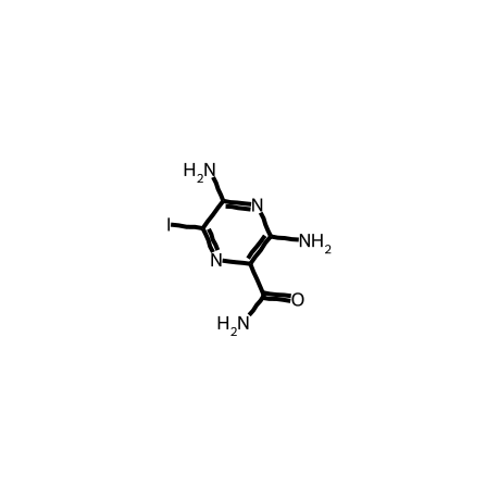 NC(=O)c1nc(I)c(N)nc1N